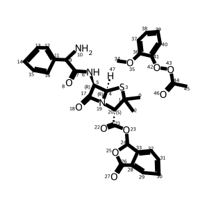 CC1(C)S[C@@H]2[C@H](NC(=O)C(N)c3ccccc3)C(=O)N2[C@H]1C(=O)OC1OC(=O)c2ccccc21.COc1ccccc1OOC(C)=O